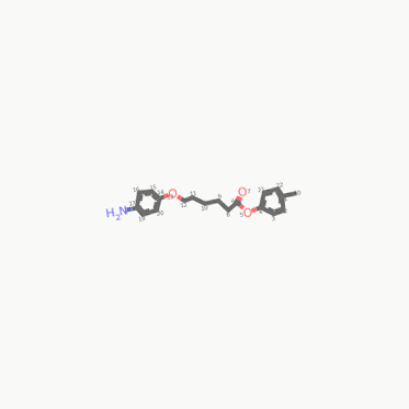 Cc1ccc(OC(=O)CCCCCOc2ccc(N)cc2)cc1